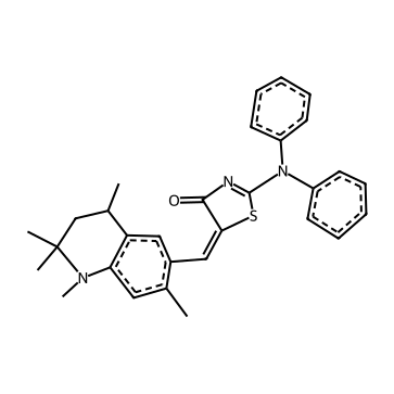 Cc1cc2c(cc1/C=C1/SC(N(c3ccccc3)c3ccccc3)=NC1=O)C(C)CC(C)(C)N2C